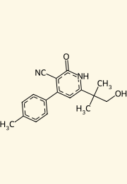 Cc1ccc(-c2cc(C(C)(C)CO)[nH]c(=O)c2C#N)cc1